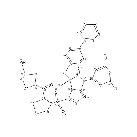 CC1(Cc2ccc(-c3cncnc3)cc2)C(=O)N(c2cc(Cl)cc(Cl)c2)c2ncc(S(=O)(=O)N3CCCC3C(=O)N3CCC(O)C3)n21